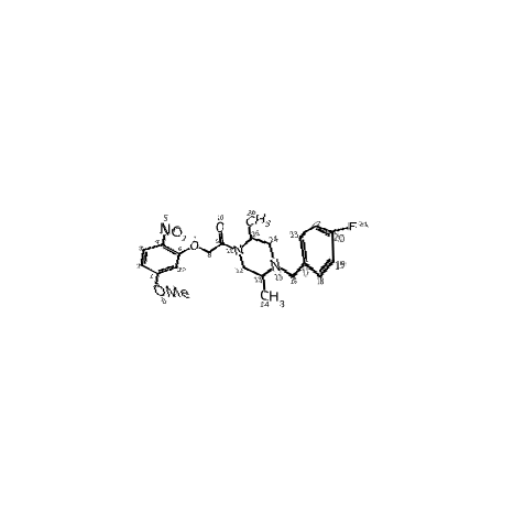 COc1ccc([N+](=O)[O-])c(OCC(=O)N2CC(C)N(Cc3ccc(F)cc3)CC2C)c1